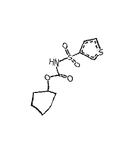 O=C(NS(=O)(=O)c1ccsc1)OC1CCCCC1